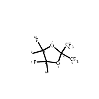 CC1(F)OC(C(F)(F)F)(C(F)(F)F)OC1(C)F